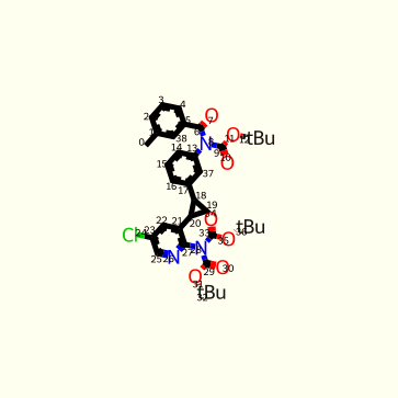 Cc1cccc(C(=O)N(C(=O)OC(C)(C)C)c2cccc(C3CC3c3cc(Cl)cnc3N(C(=O)OC(C)(C)C)C(=O)OC(C)(C)C)c2)c1